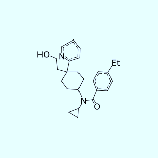 CCc1ccc(C(=O)N(C2CC2)C2CCC(CCO)(c3ccccn3)CC2)cc1